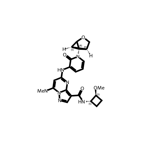 CNc1cc(Nc2cccn([C@]34C5OC[C@@H]3[C@H]54)c2=O)nc2c(C(=O)N[C@H]3CC[C@@H]3OC)cnn12